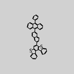 c1ccc(-c2c3ccccc3c(-c3ccc4cc(-c5cc6sc7ccccc7c6c6c5sc5ccccc56)ccc4c3)c3ccccc23)cc1